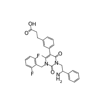 Cc1c(-c2cccc(CCC(=O)O)c2)c(=O)n(CC(N)c2ccccc2)c(=O)n1Cc1c(F)cccc1F